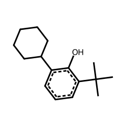 CC(C)(C)c1cccc(C2CCCCC2)c1O